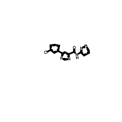 O=C(Nc1cccnn1)c1cc(-c2cccc(Cl)c2)ncn1